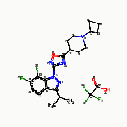 CC(C)c1nn(-c2noc(C3CCN(C4CCC4)CC3)n2)c2c(F)c(F)ccc12.O=C(O)C(F)(F)F